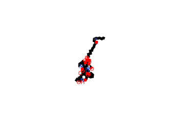 CCCCC/C=C\C/C=C\CCCCCCCCOC(=O)O[C@@H]1C2(CC)C=CCN3CC[C@@]4(c5cc([C@@]6(C(=O)OC)CC7C[N@](CCc8c6[nH]c6ccccc86)C[C@](O)(CC)C7)c(OC)cc5N(C=O)[C@H]4[C@@]1(C)C(=O)OC)[C@@H]32